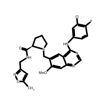 COc1cc2ncnc(Nc3ccc(F)c(Cl)c3)c2cc1CN1CCC[C@@H]1C(=O)NCc1cc(C)on1